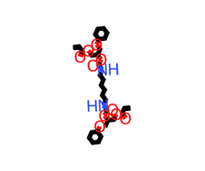 C=CC(=O)OCC(COC1CCCCC1)OC(=O)NCCCCCCNC(=O)OC(COC(=O)C=C)COC1CCCCC1